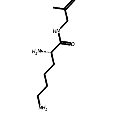 C=C(C)CNC(=O)[C@@H](N)CCCCN